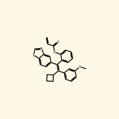 C=CC(=O)Oc1ccccc1/C(=C(\c1cccc(OC)c1)C1CCC1)c1ccc2scnc2c1